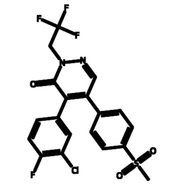 CS(=O)(=O)c1ccc(-c2cnn(CC(F)(F)F)c(=O)c2-c2ccc(F)c(Cl)c2)cc1